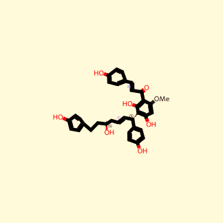 COc1cc(O)c([C@@H](/C=C/C[C@@H](O)CCc2ccc(O)cc2)c2ccc(O)cc2)c(O)c1C(=O)/C=C/c1ccc(O)cc1